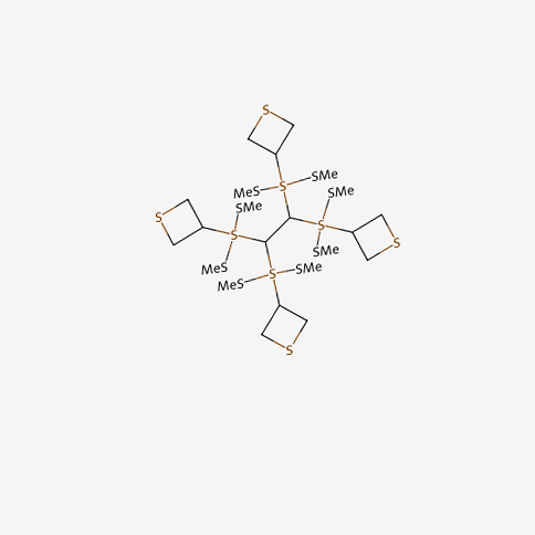 CSS(SC)(C1CSC1)C(C(S(SC)(SC)C1CSC1)S(SC)(SC)C1CSC1)S(SC)(SC)C1CSC1